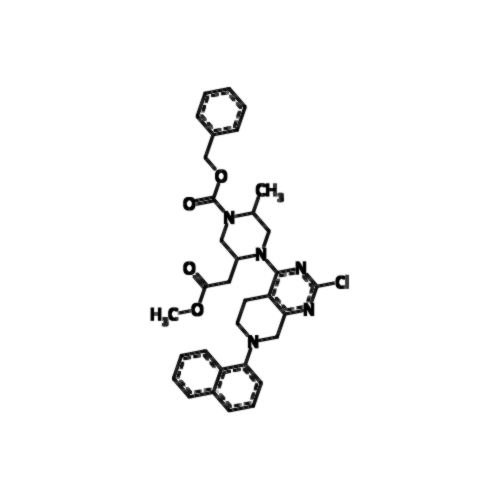 COC(=O)CC1CN(C(=O)OCc2ccccc2)C(C)CN1c1nc(Cl)nc2c1CCN(c1cccc3ccccc13)C2